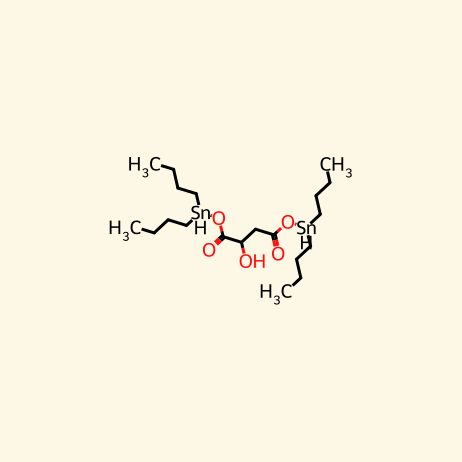 CCC[CH2][SnH]([CH2]CCC)[O]C(=O)CC(O)C(=O)[O][SnH]([CH2]CCC)[CH2]CCC